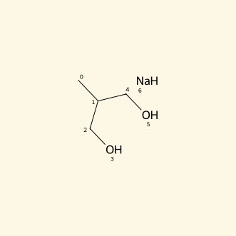 CC(CO)CO.[NaH]